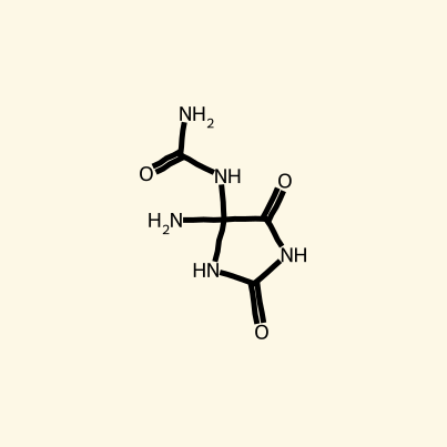 NC(=O)NC1(N)NC(=O)NC1=O